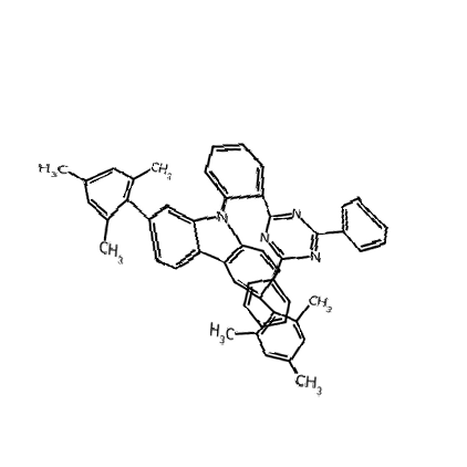 Cc1cc(C)c(-c2ccc3c(c2)c2ccc(-c4c(C)cc(C)cc4C)cc2n3-c2ccccc2-c2nc(-c3ccccc3)nc(-c3ccccc3)n2)c(C)c1